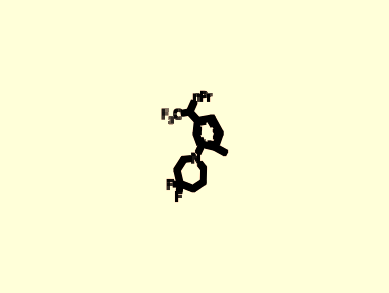 CCCC(c1ccc(C)c(N2CCCC(F)(F)CC2)c1)C(F)(F)F